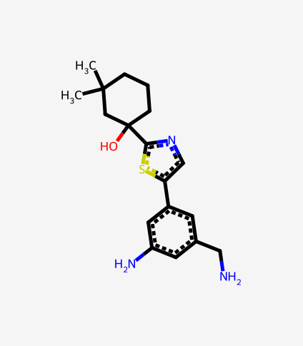 CC1(C)CCCC(O)(c2ncc(-c3cc(N)cc(CN)c3)s2)C1